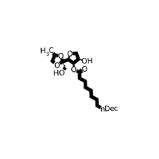 CCCCCCCCCCCCCCCCCC(=O)O[C@@H]1[C@@H](O)CO[C@@H]1[C@@]1(CO)OCC(C)O1